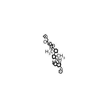 Cc1c(Nc2nccc3cc(CN4CCCC4)cnc23)cccc1-c1cccc(-c2nc3c(o2)CN(C(=O)CN2CCCC2)C3)c1C